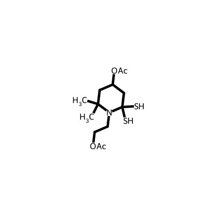 CC(=O)OCCN1C(C)(C)CC(OC(C)=O)CC1(S)S